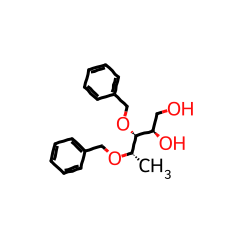 C[C@H](OCc1ccccc1)[C@H](OCc1ccccc1)[C@H](O)CO